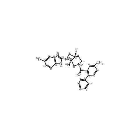 Cc1ccc(-c2ccccc2)c(C(=O)N2CC[C@H]3CN(c4nc5cc(F)ccc5o4)[C@H]3C2)c1